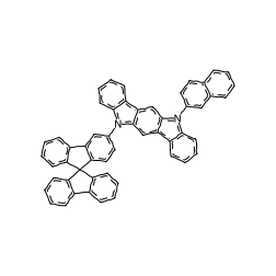 c1ccc2c(c1)-c1ccccc1C21c2ccccc2-c2cc(-n3c4ccccc4c4cc5c(cc43)c3ccccc3n5-c3ccc4ccccc4c3)ccc21